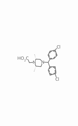 C[C@@H]1CN(C(c2ccc(Cl)cc2)c2ccc(Cl)cc2)C[C@H](C)N1CC(=O)O